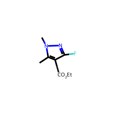 CCOC(=O)c1c(F)nn(C)c1C